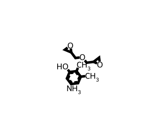 C(OCC1CO1)C1CO1.Cc1cccc(O)c1C.N